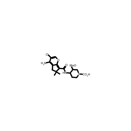 COC1CN(C(=O)O)CCC1NC(=O)C1=C2OC=C(Cl)C(N)=C2CC1(C)C